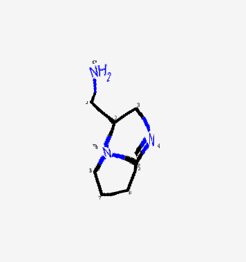 NCC1CN=C2CCCN21